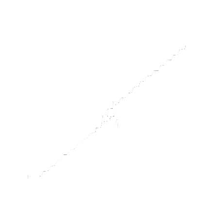 CCCCCCCCCCCCCCCCCCCCCCNC(CC)OC(CC)NCCCCCCCCCCCCCCCCCCCCCC